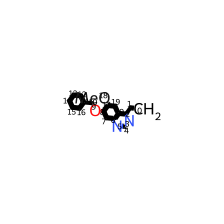 C=Cc1ncnc2cc(OCc3ccccc3)c(OC)cc12